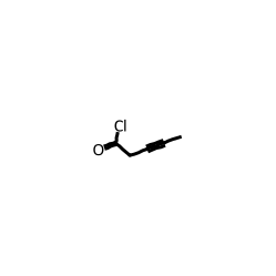 CC#CCC(=O)Cl